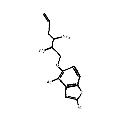 C=CCC(N)C(O)COc1ccc2oc(C(C)=O)cc2c1C(C)=O